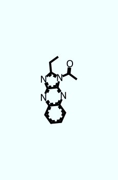 CCc1nc2nc3ccccc3nc2n1C(C)=O